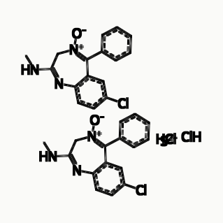 CNC1=Nc2ccc(Cl)cc2C(c2ccccc2)=[N+]([O-])C1.CNC1=Nc2ccc(Cl)cc2C(c2ccccc2)=[N+]([O-])C1.Cl.Cl.[S-2]